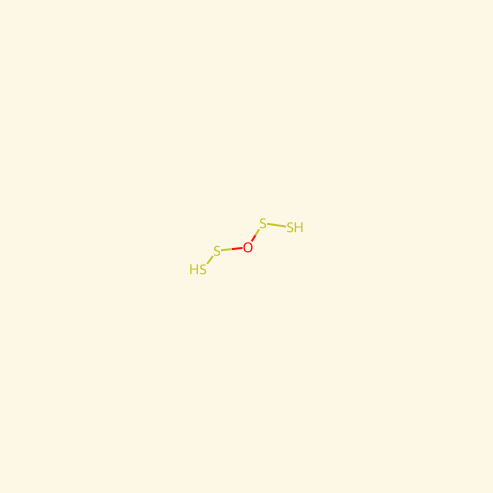 SSOSS